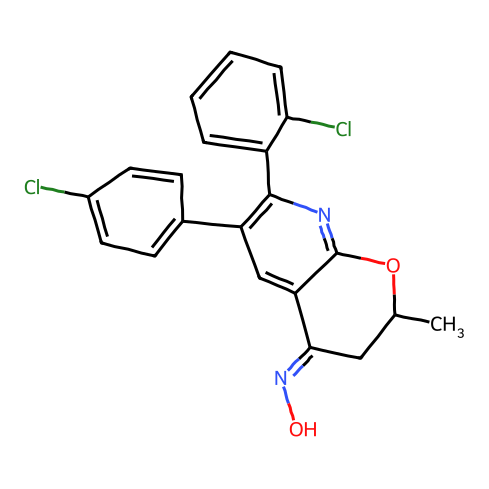 CC1CC(=NO)c2cc(-c3ccc(Cl)cc3)c(-c3ccccc3Cl)nc2O1